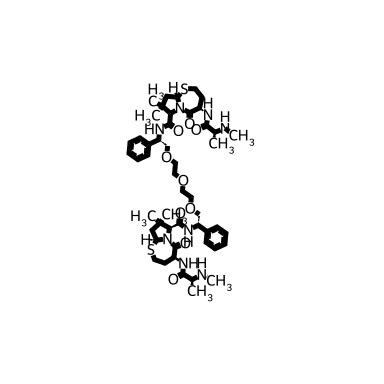 CN[C@@H](C)C(=O)N[C@H]1CCS[C@H]2CC(C)(C)C(C(=O)N[C@H](COCCOCCOC[C@@H](NC(=O)[C@H]3N4C(=O)[C@@H](NC(=O)[C@H](C)NC)CCS[C@H]4CC3(C)C)c3ccccc3)c3ccccc3)N2C1=O